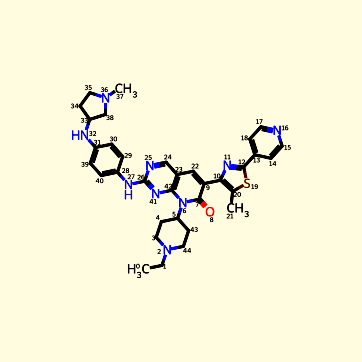 CCN1CCC(n2c(=O)c(-c3nc(-c4ccncc4)sc3C)cc3cnc(Nc4ccc(NC5CCN(C)C5)cc4)nc32)CC1